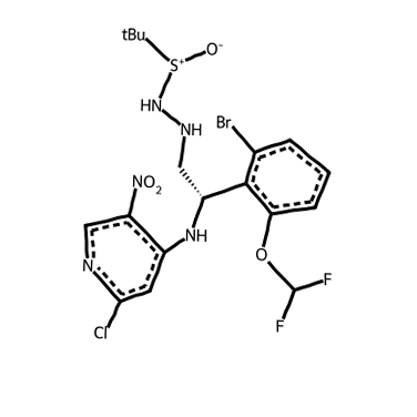 CC(C)(C)[S+]([O-])NNC[C@@H](Nc1cc(Cl)ncc1[N+](=O)[O-])c1c(Br)cccc1OC(F)F